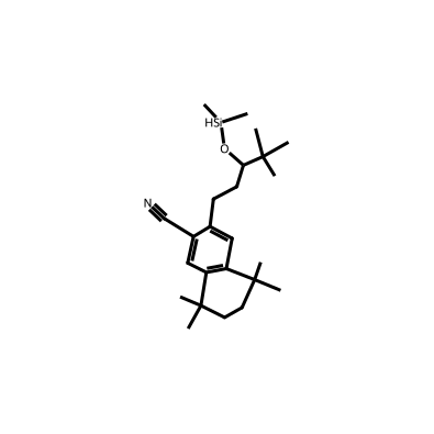 C[SiH](C)OC(CCc1cc2c(cc1C#N)C(C)(C)CCC2(C)C)C(C)(C)C